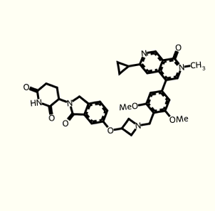 COc1cc(-c2cn(C)c(=O)c3cnc(C4CC4)cc23)cc(OC)c1CN1CC(Oc2ccc3c(c2)C(=O)N(C2CCC(=O)NC2=O)C3)C1